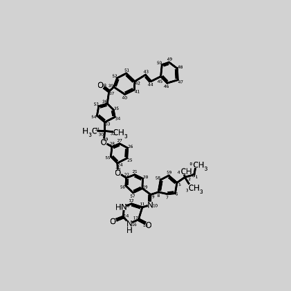 CCC(C)(C)c1ccc(C(=Nc2c[nH]c(=O)[nH]c2=O)c2ccc(Oc3cccc(OC(C)(C)c4ccc(C(=O)c5ccc(C=Cc6ccccc6)cc5)cc4)c3)cc2)cc1